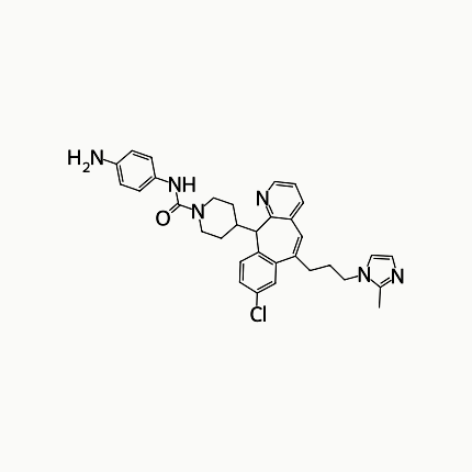 Cc1nccn1CCCC1=Cc2cccnc2C(C2CCN(C(=O)Nc3ccc(N)cc3)CC2)c2ccc(Cl)cc21